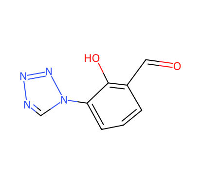 O=Cc1cccc(-n2cnnn2)c1O